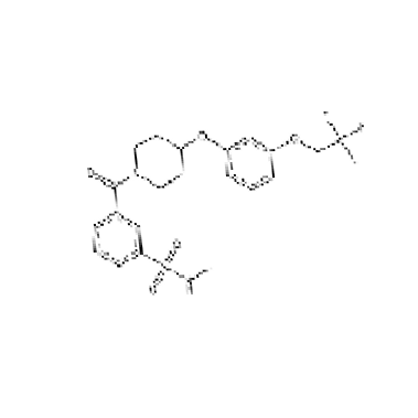 CNS(=O)(=O)c1cccc(C(=O)N2CCC(Oc3cccc(OCC(F)(F)F)c3)CC2)c1